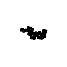 Cc1ncnc2c1ccn2[C@@H]1C[C@H](Oc2ccccc2C#N)[C@@H](O)[C@H]1O